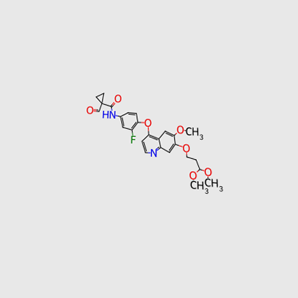 COc1cc2c(Oc3ccc(NC(=O)C4(C=O)CC4)cc3F)ccnc2cc1OCCC(OC)OC